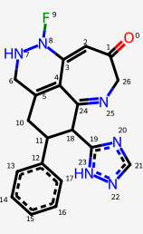 O=C1C=C2C3=C(CNN2F)CC(c2ccccc2)C(c2ncn[nH]2)C3=NC1